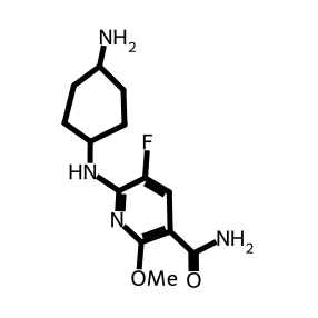 COc1nc(NC2CCC(N)CC2)c(F)cc1C(N)=O